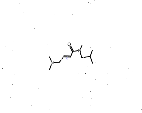 CC(C)CN(C)C(=O)/C=C/CN(C)C